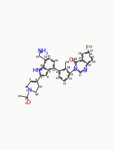 CC(=O)N1CC=C(c2cc3c(-c4cccc(-n5cnc6ccc(F)cc6c5=O)c4C)ccc(CN)c3[nH]2)CC1